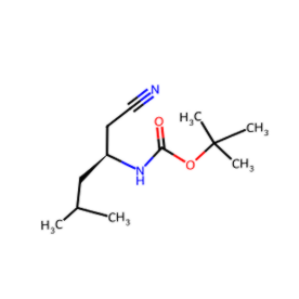 CC(C)C[C@@H](CC#N)NC(=O)OC(C)(C)C